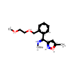 CCOCCOCc1ccccc1C(=NOC)c1cc(C)on1